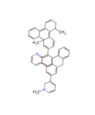 CC1CC=CC2=C3C=CC=CC3C3(C)C=C(c4ccccc4-c4ccccc4Cc4cc(C5=CC=CN(C)C5)cc(-c5cccnc5)c4)C=CC3=C21